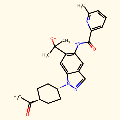 Cc1cccc(C(=O)Nc2cc3cnn([C@H]4CC[C@H](C(C)=O)CC4)c3cc2C(C)(C)O)n1